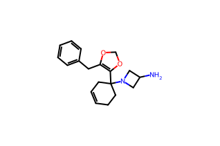 NC1CN(C2(C3=C(Cc4ccccc4)OCO3)CC=CCC2)C1